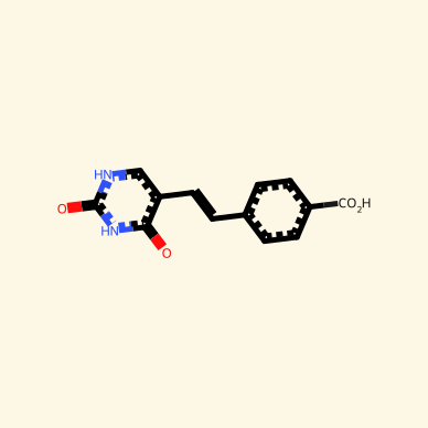 O=C(O)c1ccc(/C=C/c2c[nH]c(=O)[nH]c2=O)cc1